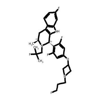 C[C@H]1Cc2c([nH]c3cc(F)ccc23)[C@H](c2c(F)cc(OC3CN(CCCF)C3)cc2F)N1CC(C)(C)F